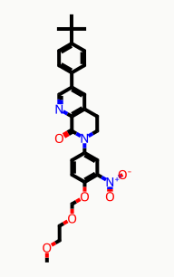 COCCOCOc1ccc(N2CCc3cc(-c4ccc(C(C)(C)C)cc4)cnc3C2=O)cc1[N+](=O)[O-]